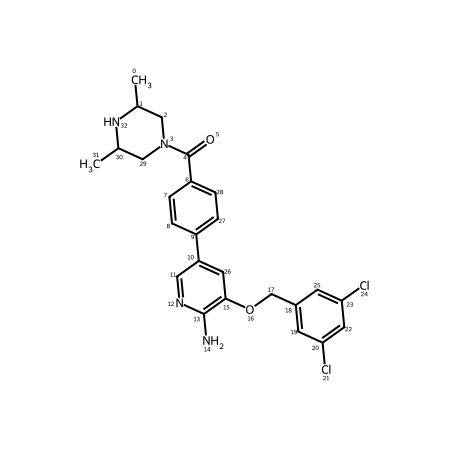 CC1CN(C(=O)c2ccc(-c3cnc(N)c(OCc4cc(Cl)cc(Cl)c4)c3)cc2)CC(C)N1